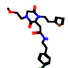 COCCN1CC(=O)N(CCc2cccs2)C(CC(=O)NCCc2ccc(Cl)cc2)C1=O